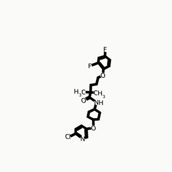 CC(C)(CCCOc1ccc(F)cc1F)C(=O)NC1CCC(Oc2ccc(Cl)nc2)CC1